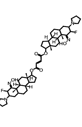 C[C@]12/C(=N\O)C(F)C(N3CCCC3)CC1CC[C@@H]1[C@H]2CC[C@]2(C)C(OC(=O)/C=C/C(=O)OC3CC[C@H]4[C@@H]5CCC6CC(N7CCCC7)C(F)/C(=N/O)[C@]6(C)[C@@H]5CC[C@]34C)CC[C@@H]12